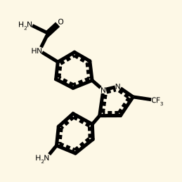 NC(=O)Nc1ccc(-n2nc(C(F)(F)F)cc2-c2ccc(N)cc2)cc1